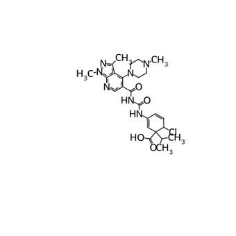 Cc1nn(C)c2ncc(C(=O)NC(=O)NC3=CC(C(=O)O)(C(C)C)C(Cl)C=C3)c(N3CCN(C)CC3)c12